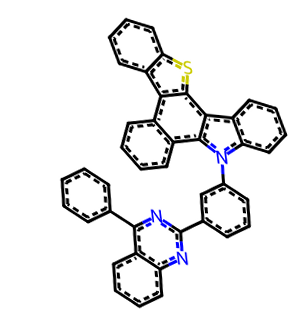 c1ccc(-c2nc(-c3cccc(-n4c5ccccc5c5c6sc7ccccc7c6c6ccccc6c54)c3)nc3ccccc23)cc1